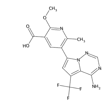 COc1nc(C)c(-c2cc(C(F)(F)F)c3c(N)ncnn23)cc1C(=O)O